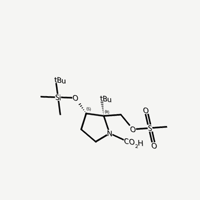 CC(C)(C)[C@@]1(COS(C)(=O)=O)[C@@H](O[Si](C)(C)C(C)(C)C)CCN1C(=O)O